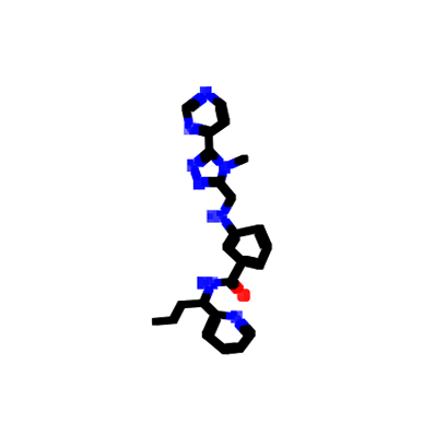 CCCC(NC(=O)c1cccc(NCc2nnc(-c3ccncn3)n2C)c1)c1ccccn1